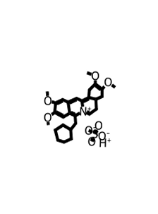 COC1=C(OC)CC2CC=[n+]3c(CC4CCCCC4)c4cc(OC)c(OC)cc4cc3=C2C1.O=S(=O)([O-])[O-].[H+]